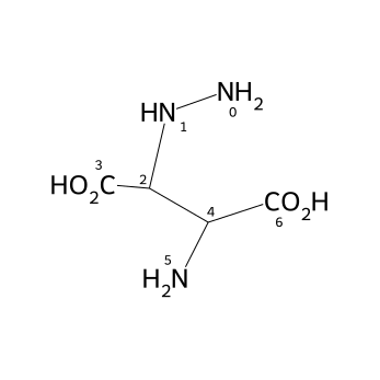 NNC(C(=O)O)C(N)C(=O)O